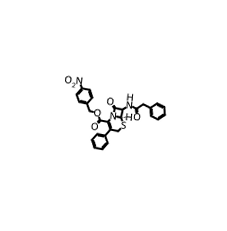 O=C(Cc1ccccc1)NC1C(=O)N2C(C(=O)OCc3ccc([N+](=O)[O-])cc3)=C(c3ccccc3)CS[C@H]12